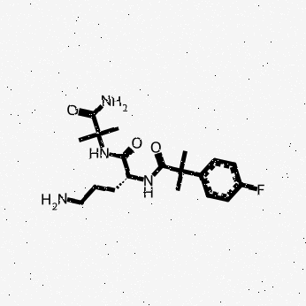 CC(C)(NC(=O)[C@@H](CCCN)NC(=O)C(C)(C)c1ccc(F)cc1)C(N)=O